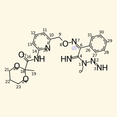 CN(N=N)C(=N)/C(=N\OCc1cccc(NC(=O)C2(C)OCCCO2)n1)c1ccccc1